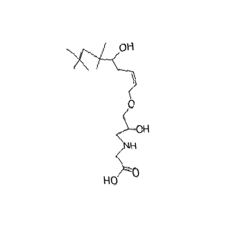 CC(C)(C)CC(C)(C)C(O)C/C=C\COCC(O)CNCC(=O)O